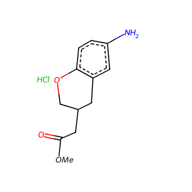 COC(=O)CC1COc2ccc(N)cc2C1.Cl